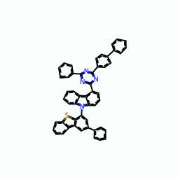 c1ccc(-c2ccc(-c3nc(-c4ccccc4)nc(-c4cccc5c4c4ccccc4n5-c4cc(-c5ccccc5)cc5c4sc4ccccc45)n3)cc2)cc1